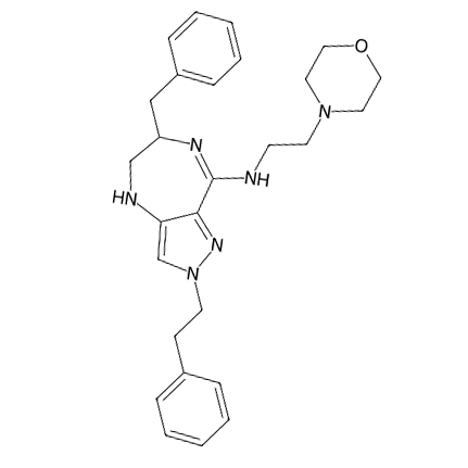 c1ccc(CCn2cc3c(n2)C(NCCN2CCOCC2)=NC(Cc2ccccc2)CN3)cc1